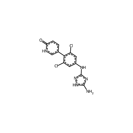 Nc1nc(Nc2cc(Cl)c(-c3ccc(=O)[nH]c3)c(Cl)c2)n[nH]1